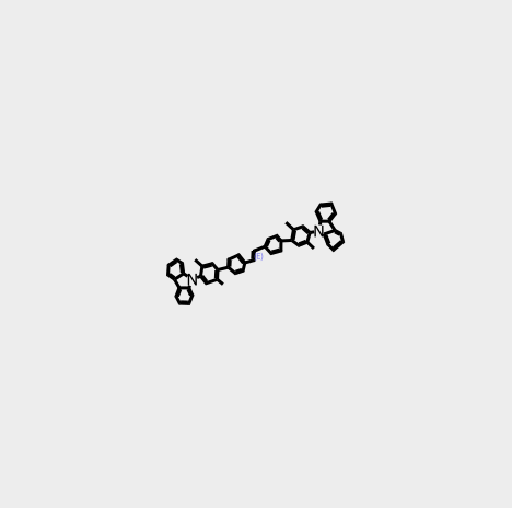 Cc1cc(-n2c3ccccc3c3ccccc32)c(C)cc1-c1ccc(/C=C/c2ccc(-c3cc(C)c(-n4c5ccccc5c5ccccc54)cc3C)cc2)cc1